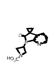 O=C(O)N1CC(N2C(=O)C3(CC3)c3cccnc32)C1